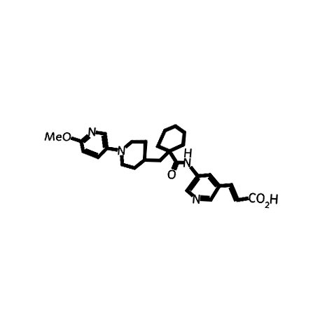 COc1ccc(N2CCC(CC3(C(=O)Nc4cncc(/C=C/C(=O)O)c4)CCCCC3)CC2)cn1